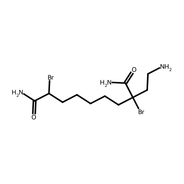 NCCC(Br)(CCCCCC(Br)C(N)=O)C(N)=O